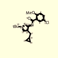 COc1ccc(Cl)cc1C(=O)/N=c1\sn(C(C)(C)C)cc1CC1CC1